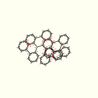 c1ccc(-c2ccccc2N(c2cccc(-c3ccccc3N(c3ccccc3-c3ccccc3)c3cccc4oc5ccccc5c34)c2)c2cccc3oc4ccccc4c23)cc1